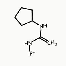 C=C(NC(C)C)NC1CCCC1